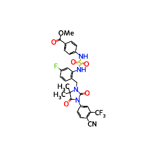 COC(=O)c1ccc(NS(=O)(=O)Nc2cc(F)ccc2CN2C(=O)N(c3ccc(C#N)c(C(F)(F)F)c3)C(=O)C2(C)C)cc1